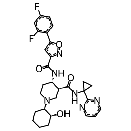 O=C(N[C@H]1CCN([C@@H]2CCCC[C@@H]2O)C[C@@H]1C(=O)NC1(c2ncccn2)CC1)c1cc(-c2ccc(F)cc2F)on1